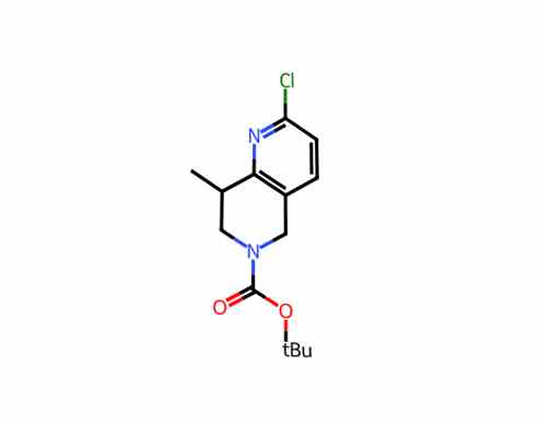 CC1CN(C(=O)OC(C)(C)C)Cc2ccc(Cl)nc21